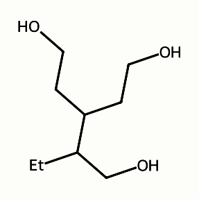 CCC(CO)C(CCO)CCO